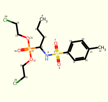 CCCC(NS(=O)(=O)c1ccc(C)cc1)P(=O)(OCCCl)OCCCl